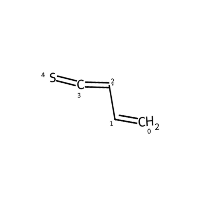 C=C[C]=C=S